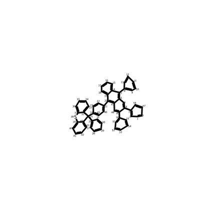 c1ccc(-c2cc3c(-c4ccccc4)c4ccccc4c(-c4ccc(C5(c6ccccc6)c6ccccc6Sc6ccccc65)cc4)c3cc2-c2ccccc2)cc1